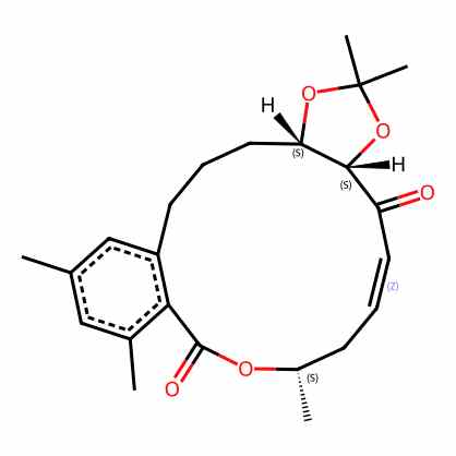 Cc1cc(C)c2c(c1)CCC[C@@H]1OC(C)(C)O[C@@H]1C(=O)/C=C\C[C@H](C)OC2=O